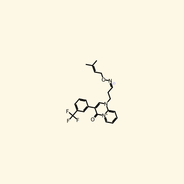 CC(C)=CCO/N=C\CCn1cc(-c2cccc(C(F)(F)F)c2)c(=O)[n+]2ccccc12